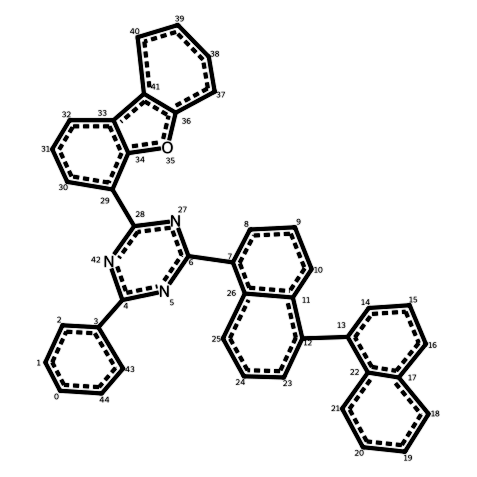 c1ccc(-c2nc(-c3cccc4c(-c5cccc6ccccc56)cccc34)nc(-c3cccc4c3oc3ccccc34)n2)cc1